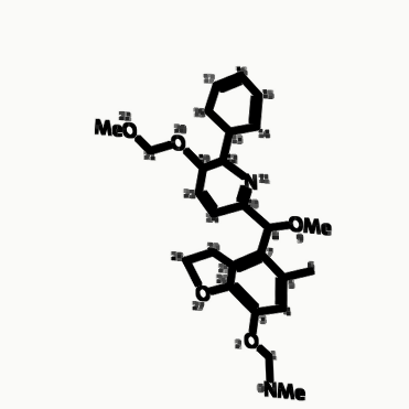 CNCOc1cc(C)c(C(OC)C2=NC(C3C=CC=CC3)C(OCOC)C=C2)c2c1OCC2